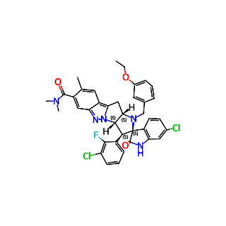 CCOc1cccc(CN2[C@H]3Cc4c5cc(C)c(C(=O)N(C)C)cc5nn4[C@H]3[C@H](c3cccc(Cl)c3F)[C@]23C(=O)Nc2cc(Cl)ccc23)c1